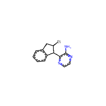 CCC1Cc2ccccc2C1c1nccnc1N